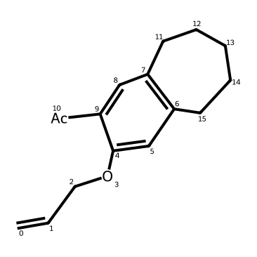 C=CCOc1cc2c(cc1C(C)=O)CCCCC2